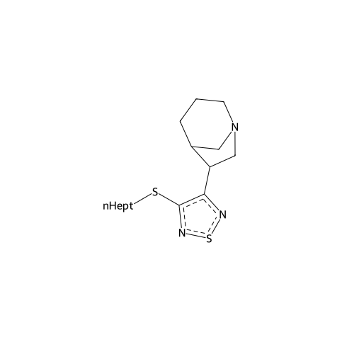 CCCCCCCSc1nsnc1C1CN2CCCC1C2